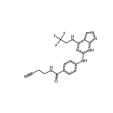 N#CCCNC(=O)c1ccc(Nc2nc(NCC(F)(F)F)c3ccnc-3[nH]2)cc1